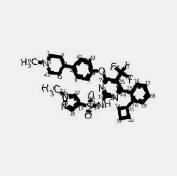 CN1CCC(c2ccc(Oc3nc(NS(=O)(=O)c4cnn(C)c4)nc(-c4ccccc4C4CCC4)c3C(F)(F)F)cc2)CC1